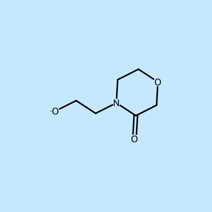 [O]CCN1CCOCC1=O